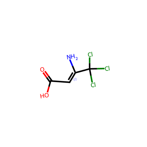 N/C(=C\C(=O)O)C(Cl)(Cl)Cl